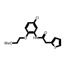 COCCOc1ccc(Cl)cc1NC(=O)Cc1cccs1